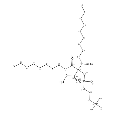 CCCCCCCCCC(=O)C(OP(=O)([O-])OCC[N+](C)(C)C)(C(=O)CCCCCCCCC)[C@@H](O)CO